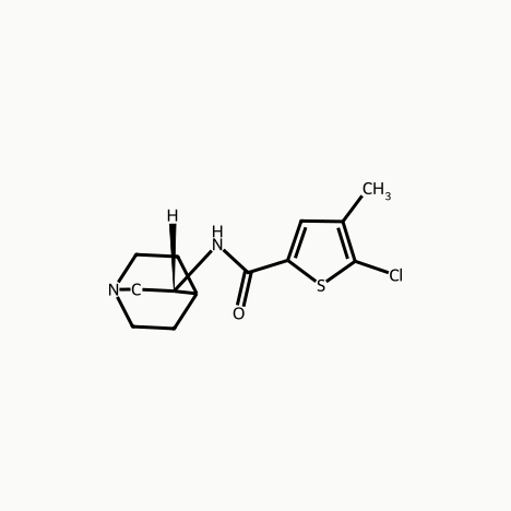 Cc1cc(C(=O)N[C@H]2CN3CCC2CC3)sc1Cl